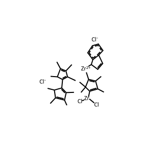 CC1=C(C)C(C)(C)[C]([Zr]([Cl])[Cl])=C1C.CC1=C(C)C(C)C(C2=C(C)C(C)=C(C)C2C)=C1C.[Cl-].[Cl-].[Zr+2][CH]1C=Cc2ccccc21